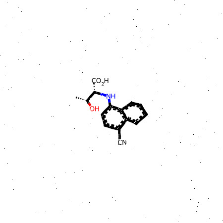 C[C@@H](O)[C@@H](Nc1ccc(C#N)c2ccccc12)C(=O)O